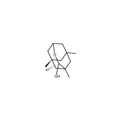 CC12CC3C[C@](C)(C1)CC(C)(C2)[C@@H](O)O3